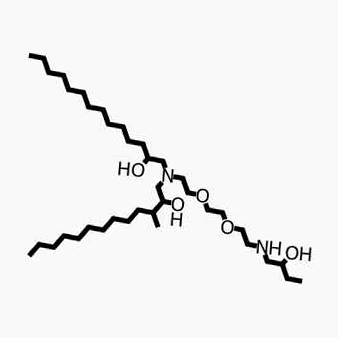 CCCCCCCCCCCCC(O)CN(CCOCCOCCNCC(O)CC)CC(O)C(C)CCCCCCCCCC